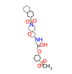 CS(=O)(=O)c1cccc(OC[C@@H](O)CNC2COC3(CCN(S(=O)(=O)c4ccc5c(c4)CCCC5)CC3)C2)c1